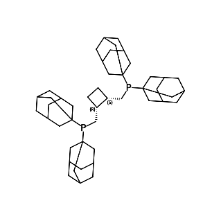 C1C2CC3CC1CC(P(C[C@H]1CC[C@H]1CP(C14CC5CC(CC(C5)C1)C4)C14CC5CC(CC(C5)C1)C4)C14CC5CC(CC(C5)C1)C4)(C2)C3